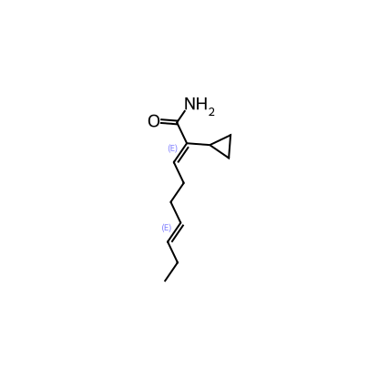 CC/C=C/CC/C=C(/C(N)=O)C1CC1